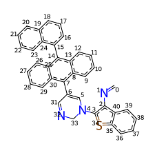 C=Nc1c(N2C=C(c3c4ccccc4c(-c4cccc5ccccc45)c4ccccc34)C=NC2)sc2ccccc12